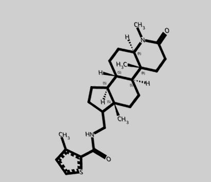 Cc1ccsc1C(=O)NCC1CC[C@H]2[C@@H]3CC[C@H]4N(C)C(=O)CC[C@]4(C)[C@H]3CC[C@]12C